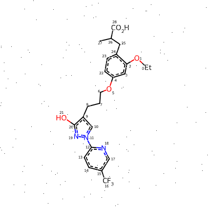 CCOc1cc(OCCCc2cn(-c3ccc(C(F)(F)F)cn3)nc2O)ccc1CC(C)C(=O)O